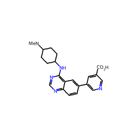 CNC1CCC(Nc2ncnc3ccc(-c4cncc(C(=O)O)c4)cc23)CC1